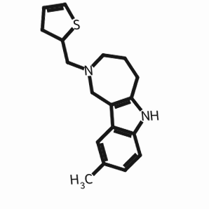 Cc1ccc2[nH]c3c(c2c1)CN(CC1CC=CS1)CCC3